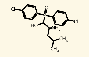 CC(C)CC(N)C(O)P(=O)(c1ccc(Cl)cc1)c1ccc(Cl)cc1